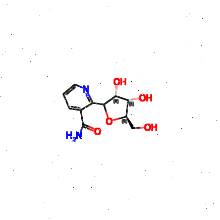 NC(=O)c1cccnc1C1O[C@H](CO)[C@@H](O)[C@H]1O